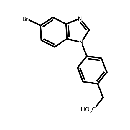 O=C(O)Cc1ccc(-n2cnc3cc(Br)ccc32)cc1